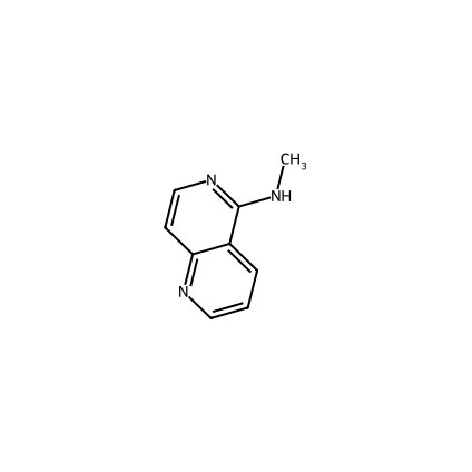 CNc1nccc2ncccc12